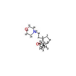 CC1(C)C2CCC1(CCN1CCOCC1)C(=O)C2